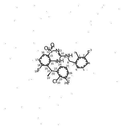 Cc1c(F)cccc1CNC1=NS(=O)(=O)c2ccc(F)c([C@H](C)c3cccc(F)c3Cl)c2N1